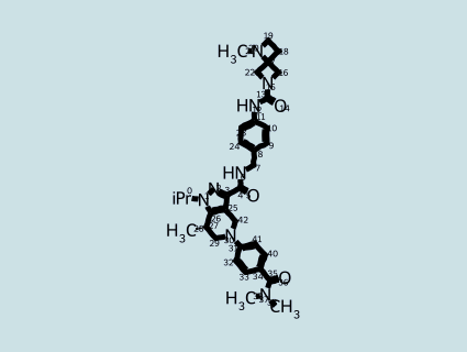 CC(C)n1nc(C(=O)NCc2ccc(NC(=O)N3CC4(CCN4C)C3)cc2)c2c1[C@@H](C)CN(c1ccc(C(=O)N(C)C)cc1)C2